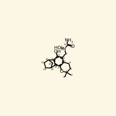 CC1(C)CCc2c(CN(O)C(N)=O)c(O)c3c(c2O1)C1CCC3C1